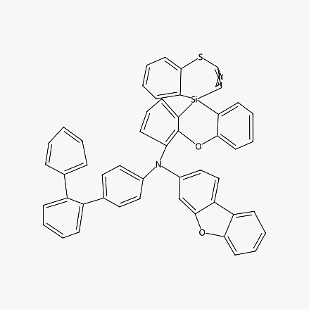 c1ccc(-c2ccccc2-c2ccc(N(c3ccc4c(c3)oc3ccccc34)c3cccc4c3Oc3ccccc3[Si]43c4ccccc4Sc4ccccc43)cc2)cc1